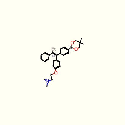 CC/C(=C(/c1ccc(OCCN(C)C)cc1)c1ccc(B2OCC(C)(C)CO2)cc1)c1ccccc1